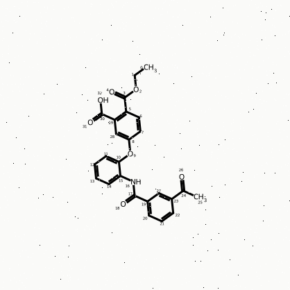 CCOC(=O)c1ccc(Oc2ccccc2NC(=O)c2cccc(C(C)=O)c2)cc1C(=O)O